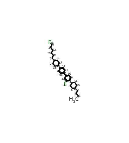 CCCC[C@H]1CC[C@H](c2ccc(-c3ccc([C@H]4CC[C@H](CCCCCCF)CC4)cc3)cc2F)CC1